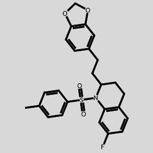 Cc1ccc(S(=O)(=O)N2c3cc(F)ccc3CCC2CCc2ccc3c(c2)OCO3)cc1